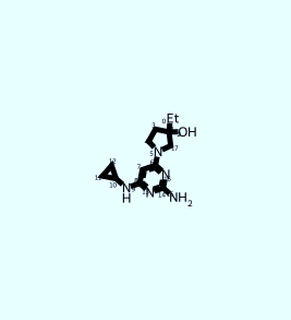 CCC1(O)CCN(c2cc(NC3CC3)nc(N)n2)C1